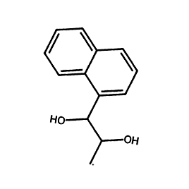 [CH2]C(O)C(O)c1cccc2ccccc12